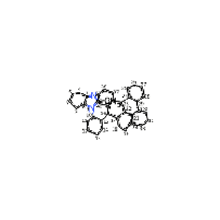 Cc1nc2ccccc2n1-c1ccccc1-c1c2ccccc2c(-c2ccccc2-c2ccccc2)c2ccccc12